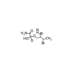 CC(Br)C(Br)COP(=O)(O)C(N)=O.N